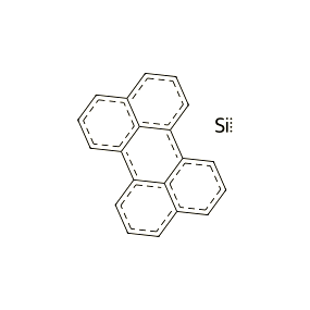 [Si].c1cc2cccc3c4cccc5cccc(c(c1)c23)c54